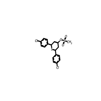 CS(=O)(=O)OC1CC(c2ccc(Cl)cc2)SC(c2ccc(Cl)cc2)C1